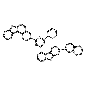 C1=CCC(c2nc(-c3ccc4c(ccc5oc6ccccc6c54)c3)nc(-c3cccc4oc5cc(-c6ccc7ccccc7c6)ccc5c34)n2)C=C1